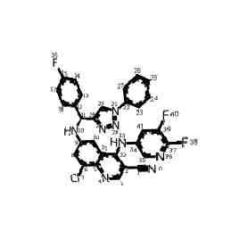 N#Cc1cnc2c(Cl)cc(N[C@@H](c3ccc(F)cc3)c3cn(-c4ccccc4)nn3)cc2c1Nc1cnc(F)c(F)c1